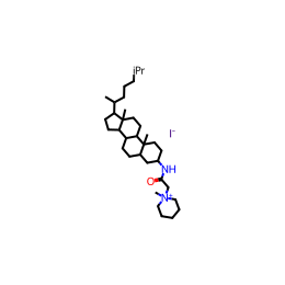 CC(C)CCCC(C)C1CCC2C3CCC4CC(NC(=O)C[N+]5(C)CCCCC5)CCC4(C)C3CCC12C.[I-]